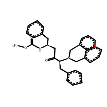 CC(C)(C)OC(=O)N[C@H](CC(=O)[C@H](Cc1ccccc1)N(Cc1ccccc1)Cc1ccccc1)Cc1ccccc1